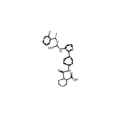 C[C@@H](OC(O)Nc1ccsc1-c1ccc(NC(=O)C2CCCCC2C(=O)O)cc1)c1ccccc1Cl